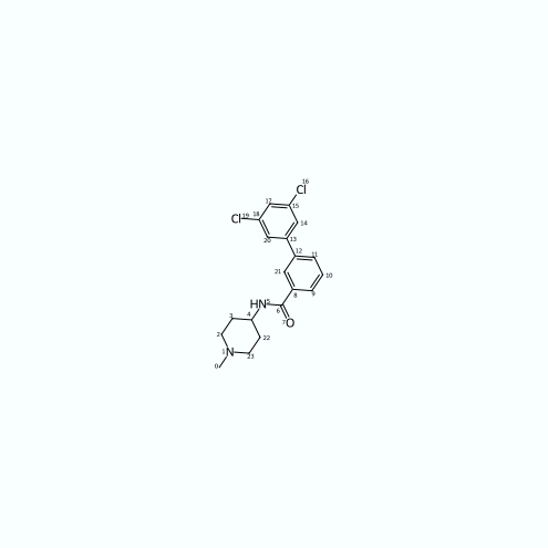 CN1CCC(NC(=O)c2cccc(-c3cc(Cl)cc(Cl)c3)c2)CC1